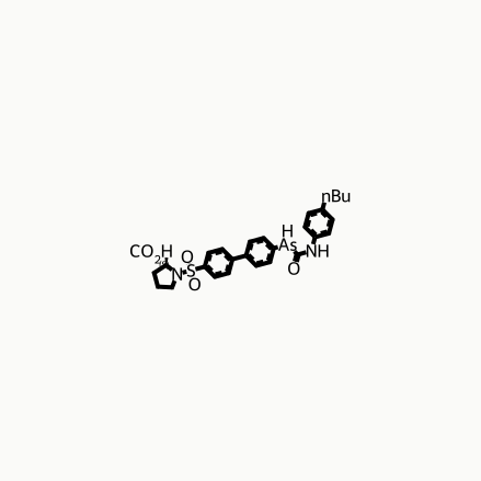 CCCCc1ccc(NC(=O)[AsH]c2ccc(-c3ccc(S(=O)(=O)N4CCC[C@H]4C(=O)O)cc3)cc2)cc1